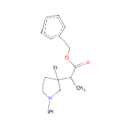 CCC1(C(C)C(=O)OCc2ccccc2)CCN(C(C)C)C1